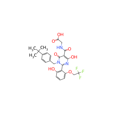 CC(C)(C)c1ccc(Cn2c(-c3c(O)cccc3OCC(F)(F)F)nc(O)c(C(=O)NCC(=O)O)c2=O)cc1